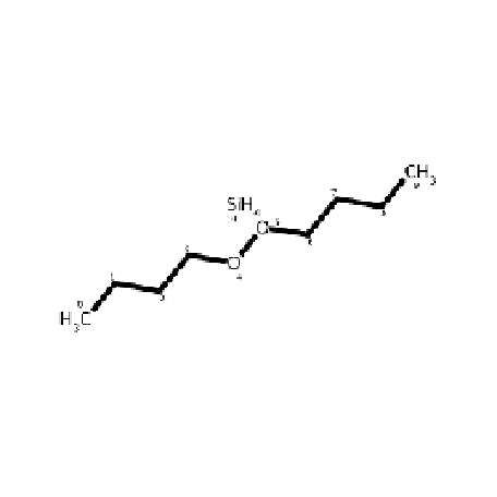 CCCCOOCCCC.[SiH4]